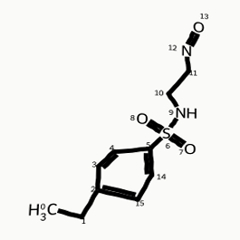 CCc1ccc(S(=O)(=O)NCCN=O)cc1